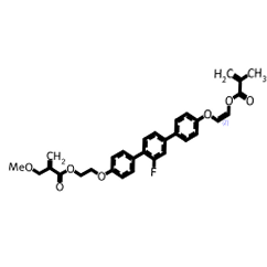 C=C(C)C(=O)O/C=C\Oc1ccc(-c2ccc(-c3ccc(OCCOC(=O)C(=C)COC)cc3)c(F)c2)cc1